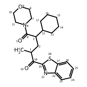 [CH2]C(CC(C(=O)N1CCOCC1)C1CCCCC1)C(=O)c1nc2ccccc2s1